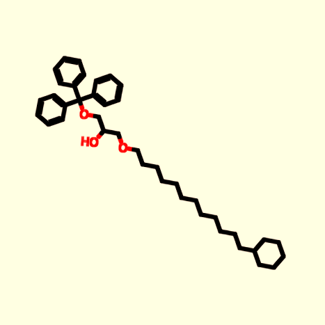 OC(COCCCCCCCCCCCCC1CCCCC1)COC(c1ccccc1)(c1ccccc1)c1ccccc1